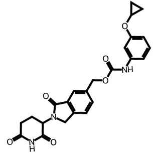 O=C1CCC(N2Cc3ccc(COC(=O)Nc4cccc(OC5CC5)c4)cc3C2=O)C(=O)N1